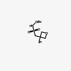 CC(C)CONS(=O)(=O)CC1(C(C)C)COC1